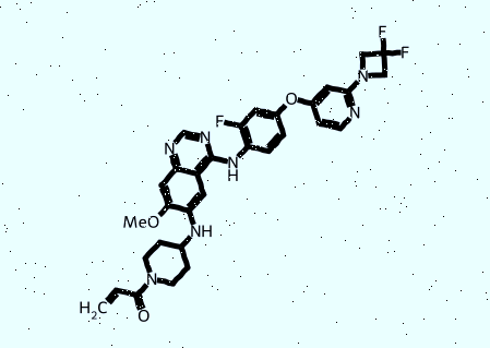 C=CC(=O)N1CCC(Nc2cc3c(Nc4ccc(Oc5ccnc(N6CC(F)(F)C6)c5)cc4F)ncnc3cc2OC)CC1